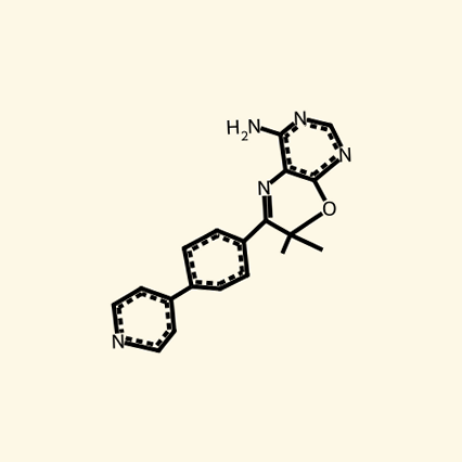 CC1(C)Oc2ncnc(N)c2N=C1c1ccc(-c2ccncc2)cc1